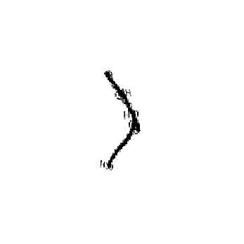 CC(=O)COCCOCCNC(=O)COCCOCCNC(=O)CCN(CC(C)=O)C(=O)CCCCCCCCCCCCCCCCCCC(=O)O